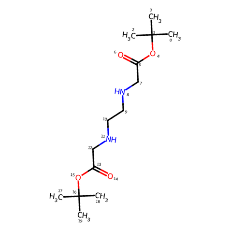 CC(C)(C)OC(=O)CNCCNCC(=O)OC(C)(C)C